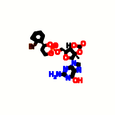 C[C@@]12OC(=O)O[C@@H]1[C@@H](CO[P@]1(=O)OCC[C@H](c3ccccc3Br)O1)O[C@H]2n1cnc2c(O)nc(N)nc21